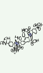 C=C(O)Nc1ccc(/N=N/c2c(S(=O)(=O)O)cc3cc(S(=O)(=O)O)c(/N=N/c4ccc(S(=O)(=O)O)cc4S(=O)(=O)O)c(O)c3c2O)c(S(=O)(=O)O)c1